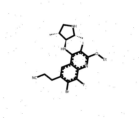 CCOc1nc2c(F)c(Br)c(CCC#N)cc2c(N[C@H]2[C@H](C)CN[C@@H]2C)c1I